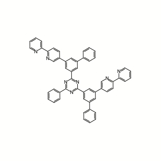 c1ccc(-c2cc(-c3ccc(-c4ccccn4)nc3)cc(-c3nc(-c4ccccc4)nc(-c4cc(-c5ccccc5)cc(-c5ccc(-c6ccccn6)nc5)c4)n3)c2)cc1